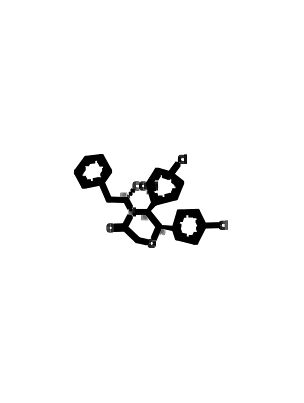 O=C(O)[C@@H](Cc1ccccc1)N1C(=O)CO[C@H](c2ccc(Cl)cc2)[C@@H]1c1ccc(Cl)cc1